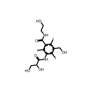 O=C(NCCO)c1c(I)c(CO)c(I)c(NC(=O)C(O)CO)c1I